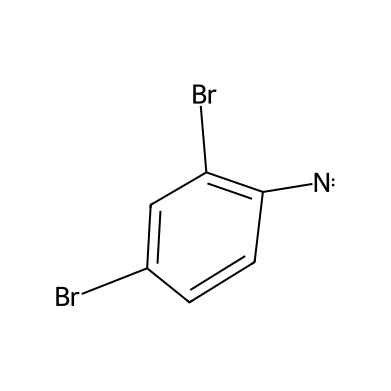 [N]c1ccc(Br)cc1Br